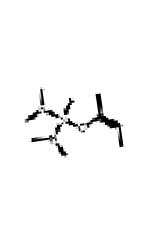 CC=C(C)O[Si](C)(N(C)C)N(C)C